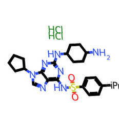 CC(C)c1ccc(S(=O)(=O)Nc2nc(NC3CCC(N)CC3)nc3c2ncn3C2CCCC2)cc1.Cl.Cl